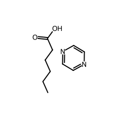 CCCCCC(=O)O.c1cnccn1